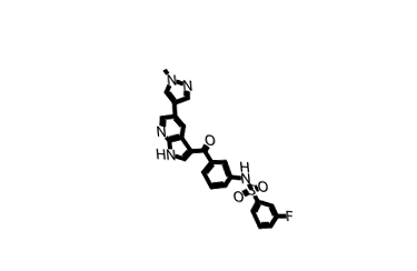 Cn1cc(-c2cnc3[nH]cc(C(=O)c4cccc(NS(=O)(=O)c5cccc(F)c5)c4)c3c2)cn1